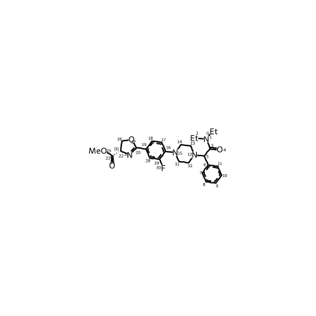 CCN(CC)C(=O)C(c1ccccc1)N1CCN(c2ccc(C3=N[C@H](C(=O)OC)CO3)cc2F)CC1